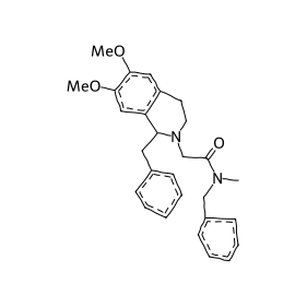 COc1cc2c(cc1OC)C(Cc1ccccc1)N(CC(=O)N(C)Cc1ccccc1)CC2